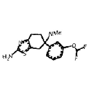 CNC1(c2cccc(OC(F)F)c2)CCc2nc(N)sc2C1